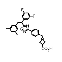 Cc1cc(C)cc(CC(c2cc(F)cc(F)c2)c2nc(-c3ccc(CN4CC(C(=O)O)C4)cc3)no2)c1